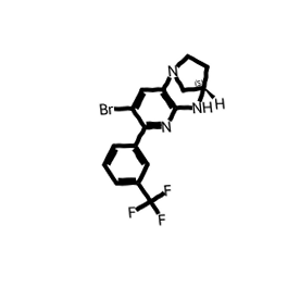 FC(F)(F)c1cccc(-c2nc3c(cc2Br)N2CC[C@@H](C2)N3)c1